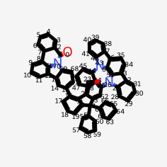 O=c1c2ccccc2c2cccc3c4cc(-c5cccc6c5-c5ccc(-n7c8ccccc8c8ccc9c%10ccccc%10n(-c%10ccccc%10)c9c87)cc5C6(c5ccccc5)c5ccccc5)ccc4n1c23